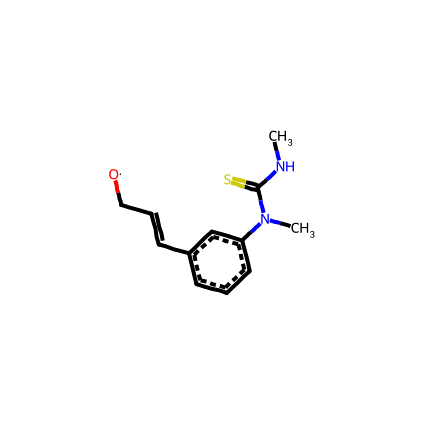 CNC(=S)N(C)c1cccc(C=CC[O])c1